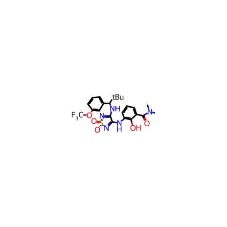 CN(C)C(=O)c1cccc(NC2=NS(=O)(=O)N=C2NC(c2cccc(OC(F)(F)F)c2)C(C)(C)C)c1O